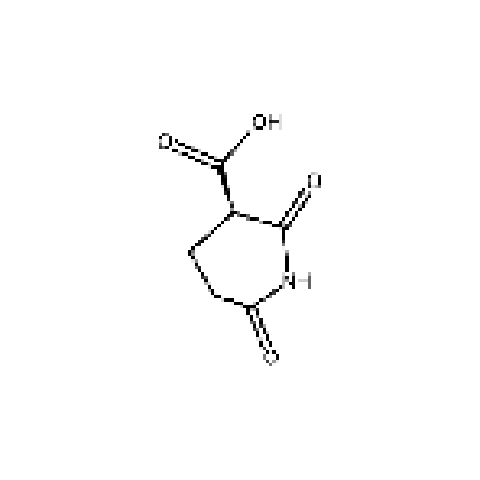 O=C1CC[C@@H](C(=O)O)C(=O)N1